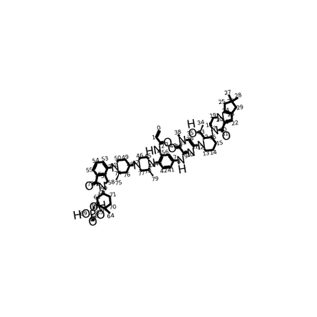 C=CC(=O)Nc1cc(Nc2nc(N3CCC[C@H](N4CCn5c(cc6c5CC(C)(C)C6)C4=O)[C@H]3[C@H](C)O)cn(C)c2=O)ccc1N1CCN(C2CCN(c3cccc4c3CN(C3CCC(C)(OP(=O)(O)O)CC3)C4=O)[C@H](C)C2)C[C@@H]1C